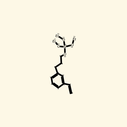 C=Cc1cccc(CCCO[Si](OCC)(OCC)OCC)c1